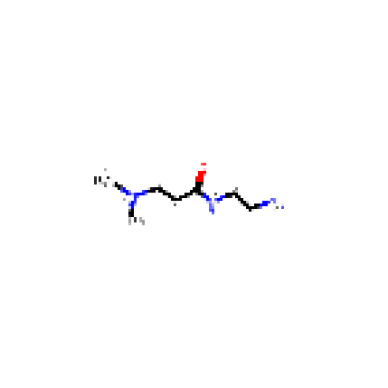 CN(C)CCC(=O)NCCN